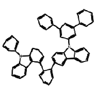 C1=C(c2ccccc2-c2ccc3c(c2)c2ccccc2n3-c2cc(-c3ccccc3)cc(-c3ccccc3)c2)c2c(n(-c3ccccc3)c3ccccc23)CC1